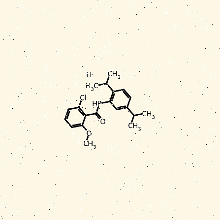 COc1cccc(Cl)c1C(=O)Pc1cc(C(C)C)ccc1C(C)C.[Li]